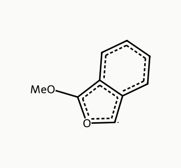 COc1o[c]c2ccccc12